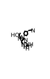 [2H]C([2H])([2H])Nc1ncc2nc(C(C)O)n([C@H]3CC[C@H](CC#N)CC3)c2n1